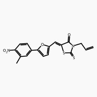 C=CCN1C(=O)/C(=C/c2ccc(-c3ccc([N+](=O)[O-])c(C)c3)o2)SC1=S